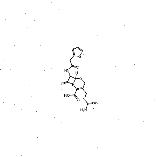 N=C(N)SCC1=C(C(=O)O)N2C(=O)C(NC(=O)Cc3cccs3)[C@@H]2SC1